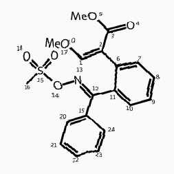 COC=C(C(=O)OC)c1ccccc1C(=NOS(C)(=O)=O)c1ccccc1